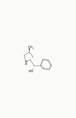 C[C@@H]1CN[C@@H]([C@@H](O)c2ccccc2)C1